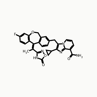 CC(=C1c2ccc(Cc3c(C4CC4)nc4c(C(N)=O)cccn34)cc2COc2cc(F)ccc21)c1noc(=O)[nH]1